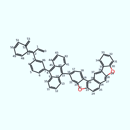 C=C/C(c1cccc(-c2c3ccccc3c(-c3ccc4c(c3)oc3ccc5cc6oc7ccccc7c6cc5c34)c3ccccc23)c1)=c1/ccccc1=C